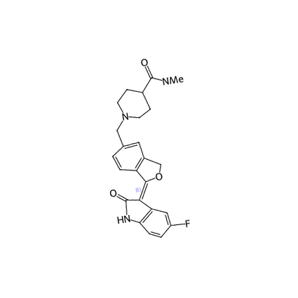 CNC(=O)C1CCN(Cc2ccc3c(c2)CO/C3=C2/C(=O)Nc3ccc(F)cc32)CC1